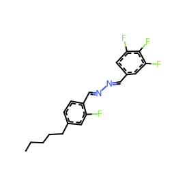 CCCCCc1ccc(/C=N/N=C/c2cc(F)c(F)c(F)c2)c(F)c1